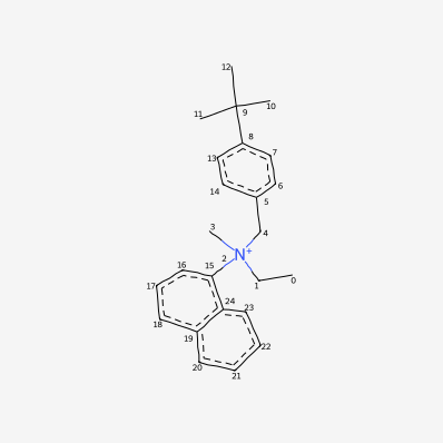 CC[N+](C)(Cc1ccc(C(C)(C)C)cc1)c1cccc2ccccc12